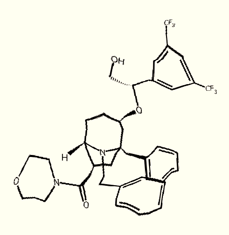 O=C([C@@H]1C[C@@]2(c3ccccc3)[C@H](O[C@H](CO)c3cc(C(F)(F)F)cc(C(F)(F)F)c3)CC[C@@H]1N2Cc1ccccc1)N1CCOCC1